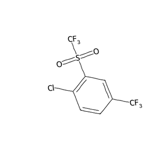 O=S(=O)(c1cc(C(F)(F)F)ccc1Cl)C(F)(F)F